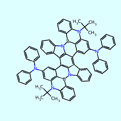 CC(C)(C)N1c2ccccc2B2c3c(cc(N(c4ccccc4)c4ccccc4)cc31)-c1c3c4ccccc4n4c3c(c3c5ccccc5n2c13)-c1cc(N(c2ccccc2)c2ccccc2)cc2c1B4c1ccccc1N2C(C)(C)C